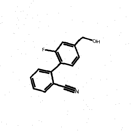 N#Cc1ccccc1-c1ccc(CO)cc1F